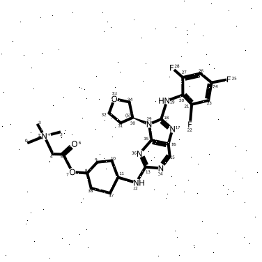 C[N+](C)(C)CC(=O)OC1CCC(Nc2ncc3nc(Nc4c(F)cc(F)cc4F)n([C@H]4CCOC4)c3n2)CC1